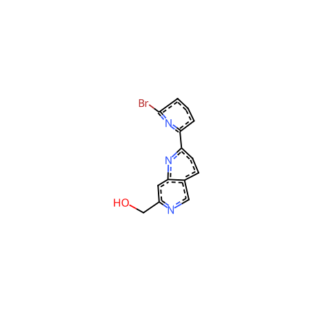 OCc1cc2nc(-c3cccc(Br)n3)ccc2cn1